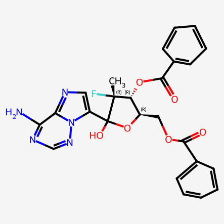 C[C@@]1(F)[C@H](OC(=O)c2ccccc2)[C@@H](COC(=O)c2ccccc2)OC1(O)c1cnc2c(N)ncnn12